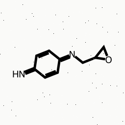 N=C1C=CC(=NCC2CO2)C=C1